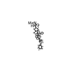 CNC(=O)Nc1ccc2c(c1)CCC21OC(=O)N(CC(=O)N2CC[C@@H](c3ccccc3)C2)C1=O